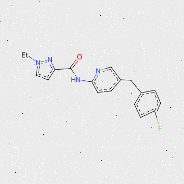 CCn1ccc(C(=O)Nc2ccc(Cc3ccc(F)cc3)cn2)n1